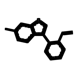 C=Cc1ccccc1-c1coc2cc(C)ccc12